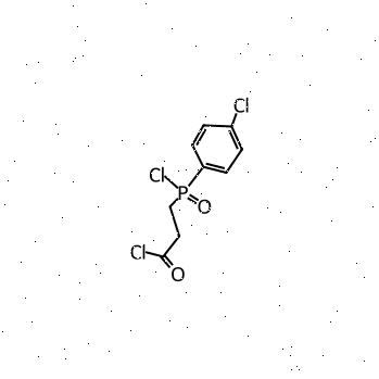 O=C(Cl)CCP(=O)(Cl)c1ccc(Cl)cc1